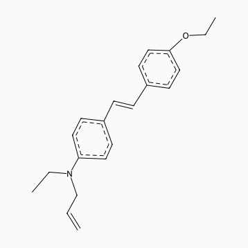 C=CCN(CC)c1ccc(C=Cc2ccc(OCC)cc2)cc1